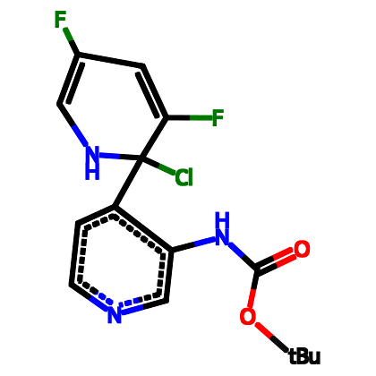 CC(C)(C)OC(=O)Nc1cnccc1C1(Cl)NC=C(F)C=C1F